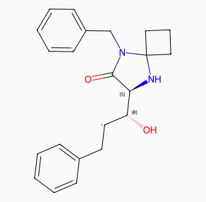 O=C1[C@H]([C@H](O)[CH]Cc2ccccc2)NC2(CCC2)N1Cc1ccccc1